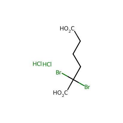 Cl.Cl.O=C(O)CCCC(Br)(Br)C(=O)O